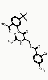 CC(=O)NC(CSC(=O)c1ccc(C)cc1O)C(=O)Oc1cc(C(F)(F)F)ccc1C(=O)O